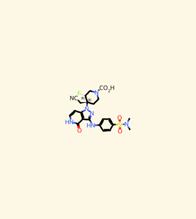 CN(C)S(=O)(=O)c1ccc(Nc2nn([C@@]3(CC#N)CCN(C(=O)O)C[C@H]3F)c3cc[nH]c(=O)c23)cc1